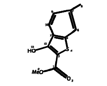 COC(=O)c1sc2cc(C)ccc2c1O